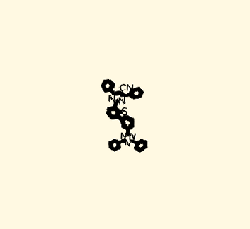 N#Cc1c(-c2ccccc2)nc(-c2cccc3c2sc2ccc(-c4nc(-c5ccccc5)nc(-c5ccccc5)n4)cc23)nc1-c1ccccc1